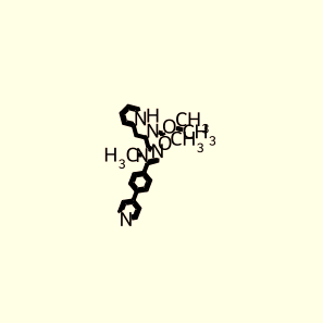 Cn1c(-c2ccc(-c3ccncc3)cc2)cnc1C(Cc1ccccn1)NC(=O)OC(C)(C)C